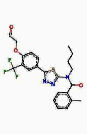 CCCCN(C(=O)c1ccccc1C)c1nnc(-c2ccc(OCC=O)c(C(F)(F)F)c2)s1